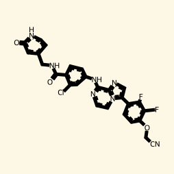 N#CCOc1ccc(-c2cnc3c(Nc4ccc(C(=O)NCc5cc[nH]c(=O)c5)c(Cl)c4)nccn23)c(F)c1F